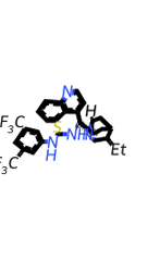 CCC1CN2CCC1C[C@H]2[C@@H](NC(=S)Nc1cc(C(F)(F)F)cc(C(F)(F)F)c1)c1ccnc2ccccc12